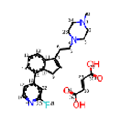 CN1CCN(CCC2=CCc3c2cccc3-c2ccnc(F)c2)CC1.O=C(O)C=CC(=O)O